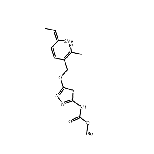 C\C=C(/C=C\C(COc1nnc(NC(=O)OC(C)(C)C)s1)=C(\C)CC)SC